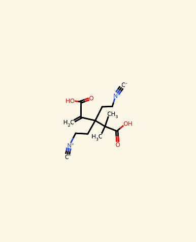 [C-]#[N+]CCC(CC[N+]#[C-])(C(=C)C(=O)O)C(C)(C)C(=O)O